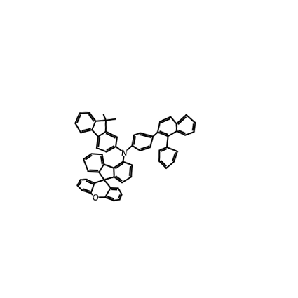 CC1(C)c2ccccc2-c2ccc(N(c3ccc(-c4ccc5ccccc5c4-c4ccccc4)cc3)c3cccc4c3-c3ccccc3C43c4ccccc4Oc4ccccc43)cc21